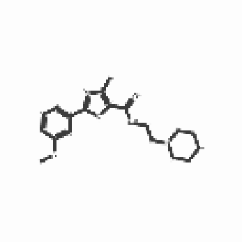 CSc1cccc(-c2nc(C)c(C(=O)NCCN3CCCCC3)s2)c1